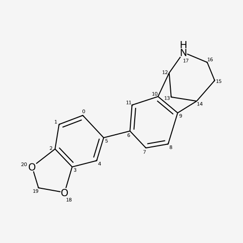 c1cc2c(cc1-c1ccc3c(c1)C1CC3CCN1)OCO2